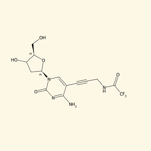 Nc1nc(=O)n([C@H]2CC(O)[C@@H](CO)O2)cc1C#CCNC(=O)C(F)(F)F